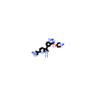 CN1CCC(Oc2ncnc3ccc(-c4c[nH]c5nc(-c6cnn(C)c6)ccc45)cc23)CC1